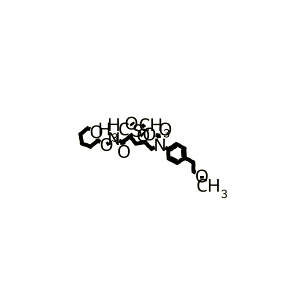 COCCc1ccc(N2CC(CC(C)(C(=O)NOC3CCCCO3)S(C)(=O)=O)OC2=O)cc1